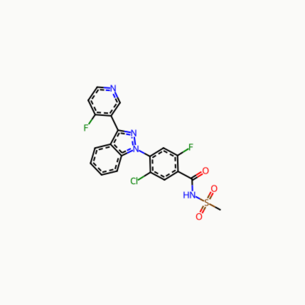 CS(=O)(=O)NC(=O)c1cc(Cl)c(-n2nc(-c3cnccc3F)c3ccccc32)cc1F